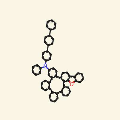 c1ccc(-c2ccc(-c3ccc(N(c4ccccc4)c4ccc5c(c4)c4ccccc4c4ccccc4c4ccccc4c4c5ccc5c6ccccc6oc54)cc3)cc2)cc1